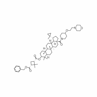 CC1([C@@H]2CC[C@]3(C(=O)N4CCC(OCCN5CCOCC5)CC4)CC[C@]4(C)[C@H](CC[C@@H]5[C@@]6(C)CC[C@H](OC(=O)[C@H]7C[C@@H](C(=O)OCc8ccccc8)C7(C)C)C(C)(C)[C@@H]6CC[C@]54C)[C@@H]23)CC1